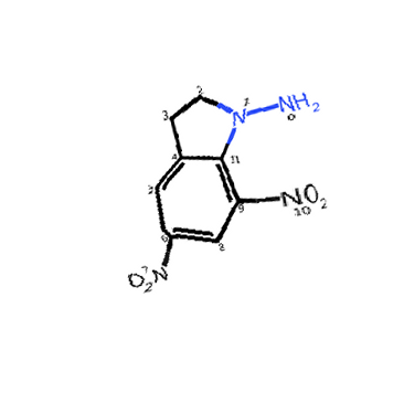 NN1CCc2cc([N+](=O)[O-])cc([N+](=O)[O-])c21